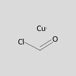 O=CCl.[Cu]